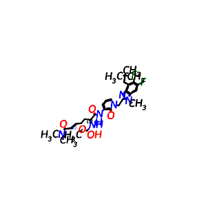 COC(O)N[C@@H](CC/C=C/C(=O)N(C)C)C(=O)Nc1cccn(Cc2nc3c(CC(C)(C)C)c(F)c(F)cc3n2C)c1=O